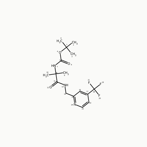 CC(C)(C)OC(=O)NC(C)(C)C(=O)NCc1cc(C(F)(F)F)ccn1